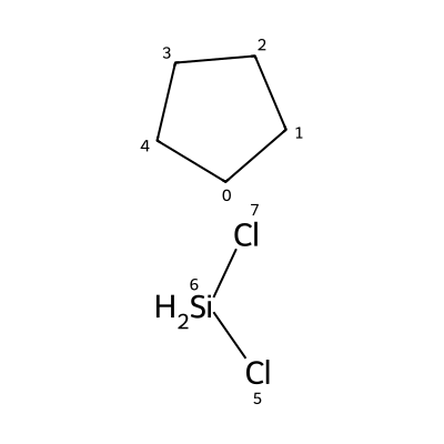 C1CCCC1.Cl[SiH2]Cl